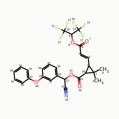 CC1(C)C(C=CC(=O)OC(C(F)(F)F)C(F)(F)F)C1C(=O)OC(C#N)c1cccc(Oc2ccccc2)c1